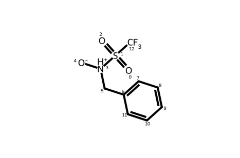 O=S(=O)([NH+]([O-])Cc1ccccc1)C(F)(F)F